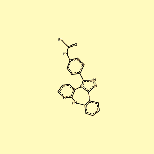 CCC(=O)Nc1ccc(-c2nnc3n2-c2cccnc2Nc2ccccc2-3)cc1